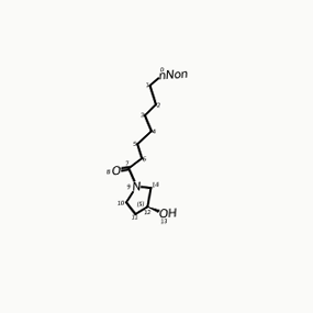 CCCCCCCCCCCCCCCC(=O)N1CC[C@H](O)C1